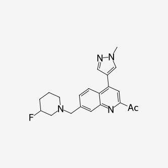 CC(=O)c1cc(-c2cnn(C)c2)c2ccc(CN3CCCC(F)C3)cc2n1